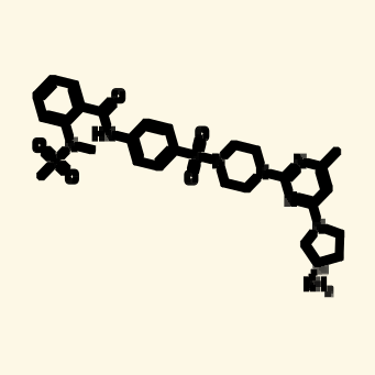 Cc1cc(N2CC[C@H](N)C2)nc(N2CCN(S(=O)(=O)c3ccc(NC(=O)c4ccccc4N(C)S(C)(=O)=O)cc3)CC2)n1